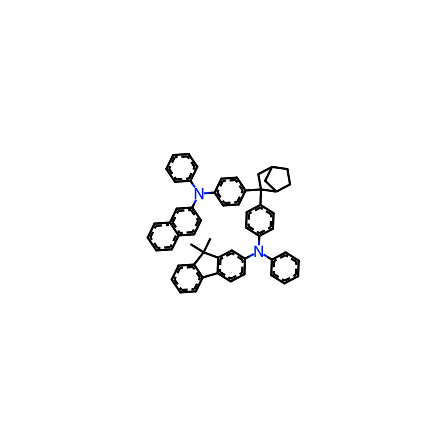 CC1(C)c2ccccc2-c2ccc(N(c3ccccc3)c3ccc(C4(c5ccc(N(c6ccccc6)c6ccc7ccccc7c6)cc5)CC5CCC4C5)cc3)cc21